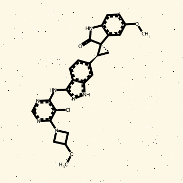 COc1ccc2c(c1)[C@]1(C[C@H]1c1ccc3c(Nc4ncnc(N5CC(OC)C5)c4Cl)n[nH]c3c1)C(=O)N2